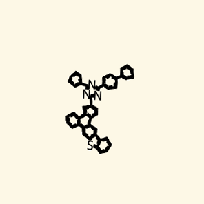 c1ccc(-c2ccc(-c3nc(-c4ccccc4)nc(-c4ccc5c(c4)c4ccccc4c4cc6sc7ccccc7c6cc54)n3)cc2)cc1